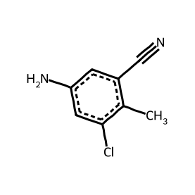 Cc1c(Cl)cc(N)cc1C#N